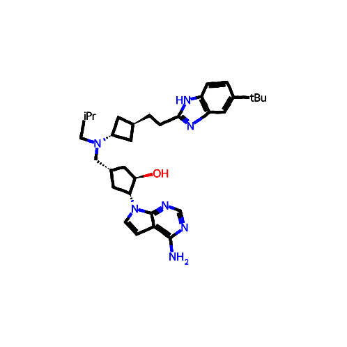 CC(C)CN(C[C@@H]1C[C@@H](O)[C@H](n2ccc3c(N)ncnc32)C1)[C@H]1C[C@H](CCc2nc3cc(C(C)(C)C)ccc3[nH]2)C1